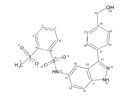 CS(=O)(=O)c1ccccc1S(=O)(=O)Nc1ccc2[nH]nc(-c3ccc(CO)cc3)c2c1